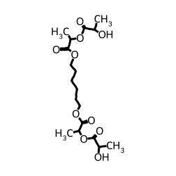 CC(O)C(=O)OC(C)C(=O)OCCCCCCOC(=O)C(C)OC(=O)C(C)O